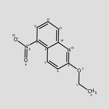 CCOc1ccc2c([N+](=O)[O-])cccc2n1